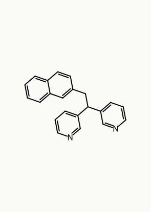 c1cncc(C(Cc2ccc3ccccc3c2)c2cccnc2)c1